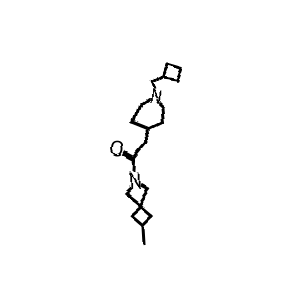 CC1CC2(C1)CN(C(=O)CC1CCN(CC3CCC3)CC1)C2